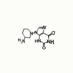 NC1CCCN(n2cnc3c(=O)[nH]c(=O)[nH]c32)C1